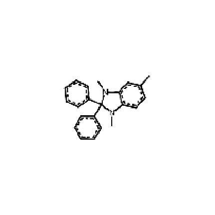 Cc1ccc2c(c1)N(C)C(c1ccccc1)(c1ccccc1)N2C